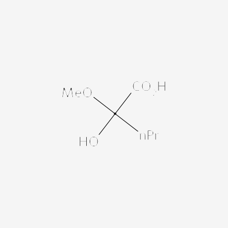 CCCC(O)(OC)C(=O)O